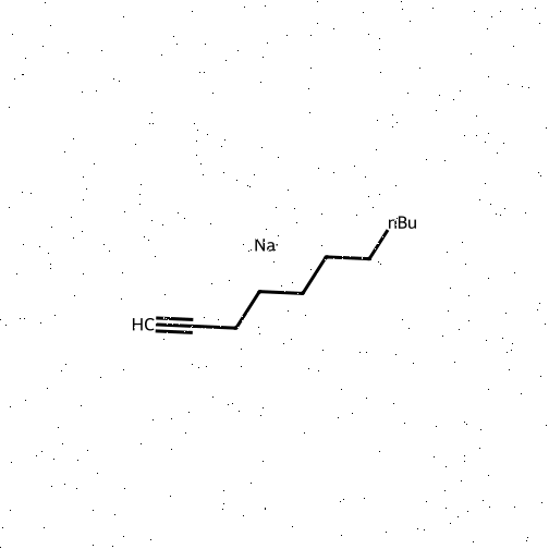 C#CCCCCCCCCC.[Na]